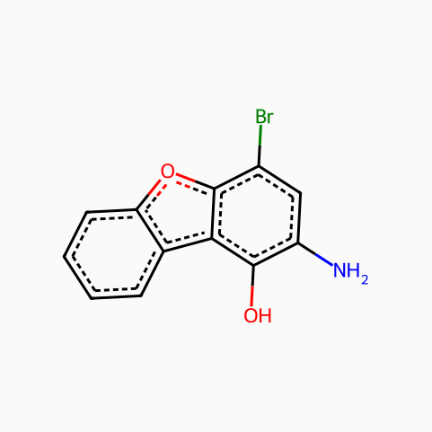 Nc1cc(Br)c2oc3ccccc3c2c1O